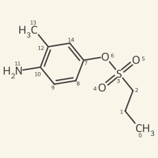 CCCS(=O)(=O)Oc1ccc(N)c(C)c1